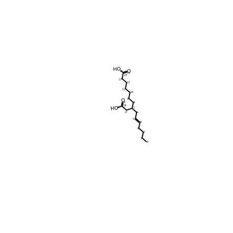 CCCCC=CCC(CCCCCCC(=O)O)CC(=O)O